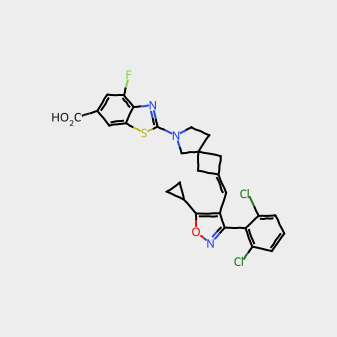 O=C(O)c1cc(F)c2nc(N3CCC4(CC(=Cc5c(-c6c(Cl)cccc6Cl)noc5C5CC5)C4)C3)sc2c1